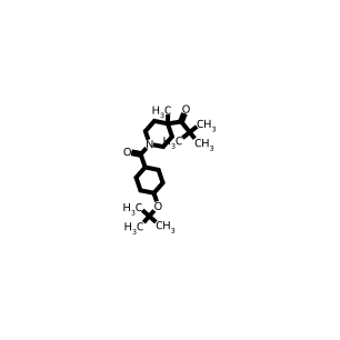 CC(C)(C)OC1CCC(C(=O)N2CCC(C)(C(=O)C(C)(C)C)CC2)CC1